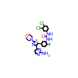 Nc1nccc(-c2nc(N3CCOCC3)sc2-c2ccc(F)c(NC(=O)Nc3ccc(Cl)c(Cl)c3)c2)n1